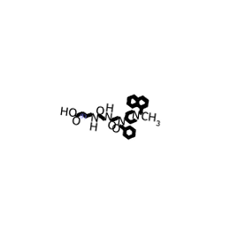 CC(c1cccc2ccccc12)N1CCC(N(CC(=O)NCC(=O)NC/C=C/C(=O)O)C(=O)C2CCCCC2)CC1